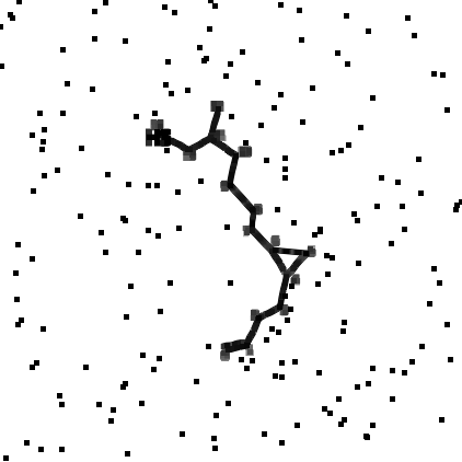 C=CCCC1CC1CCCCC(C)CS